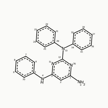 Nc1cc(Nc2ccccc2)nc(N(c2ccccc2)c2ccccc2)n1